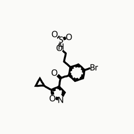 O=C(c1ccc(Br)cc1CCO[SH](=O)=O)c1cnoc1C1CC1